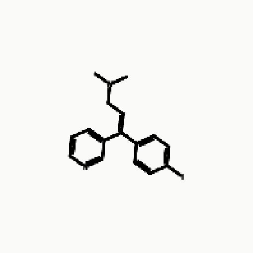 CN(C)C/C=C(/c1ccc(I)cc1)c1cccnc1